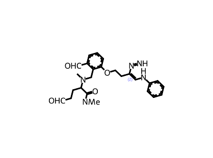 CNC(=O)C(CCC=O)N(C)Cc1c(C=O)cccc1OCC/C(=C/Nc1ccccc1)N=N